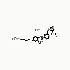 CCCCCCCCCCCCCCOc1ccc(NC(=O)c2cccc(C[n+]3cscc3C)c2)c(Cl)c1.[Br-]